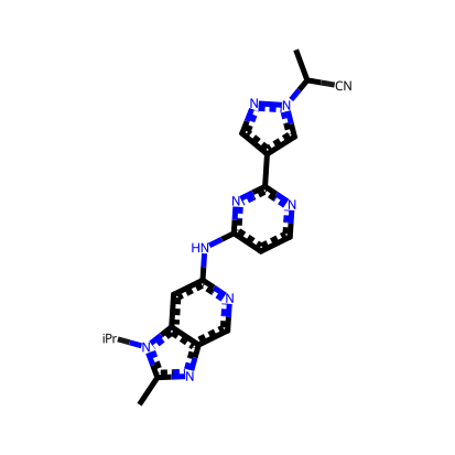 Cc1nc2cnc(Nc3ccnc(-c4cnn(C(C)C#N)c4)n3)cc2n1C(C)C